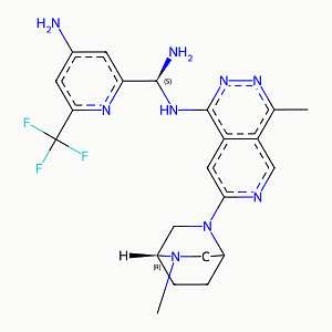 Cc1nnc(N[C@H](N)c2cc(N)cc(C(F)(F)F)n2)c2cc(N3C[C@H]4CCC3CN4C)ncc12